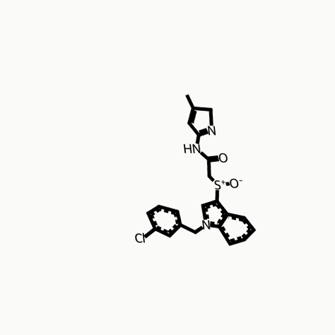 CC1=CC(NC(=O)C[S+]([O-])c2cn(Cc3cccc(Cl)c3)c3ccccc23)=NC1